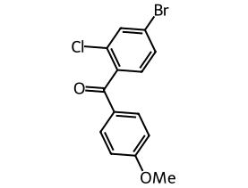 COc1ccc(C(=O)c2ccc(Br)cc2Cl)cc1